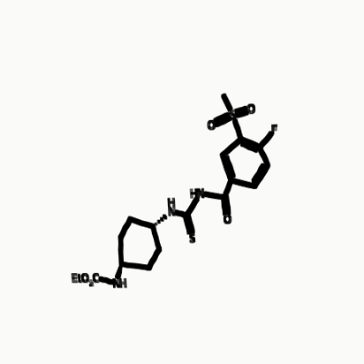 CCOC(=O)N[C@H]1CC[C@H](NC(=S)NC(=O)c2ccc(F)c(S(C)(=O)=O)c2)CC1